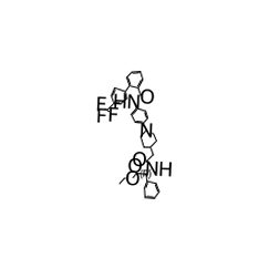 CCOC(=O)[C@H](NC(=O)CC1CCN(c2ccc(NC(=O)c3ccccc3-c3ccc(C(F)(F)F)cc3)cc2)CC1)c1ccccc1